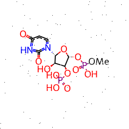 COP(=O)(O)O[C@H]1O[C@@H](n2ccc(=O)[nH]c2=O)[C@H](O)[C@@H]1OP(=O)(O)O